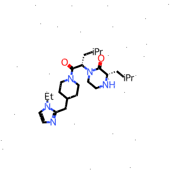 CCn1ccnc1CC1CCN(C(=O)[C@H](CC(C)C)N2CCN[C@@H](CC(C)C)C2=O)CC1